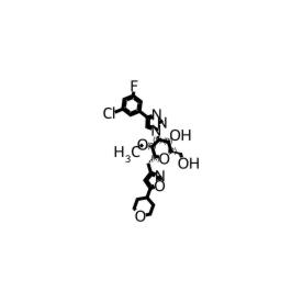 CO[C@@H]1[C@@H](n2cc(-c3cc(F)cc(Cl)c3)nn2)[C@@H](O)[C@@H](CO)O[C@@H]1Cc1cc(C2CCOCC2)on1